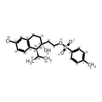 Cc1ccc(S(=O)(=O)OCC[C@]2(O)CCc3cc(Cl)ccc3[C@@H]2C(C)C)cc1